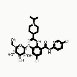 CC(C)N1CCC(C(=O)Nc2c(O[C@@H]3O[C@H](CO)[C@@H](O)[C@H](O)[C@H]3O)cc(Cl)cc2C(=O)Nc2ccc(Cl)cn2)CC1